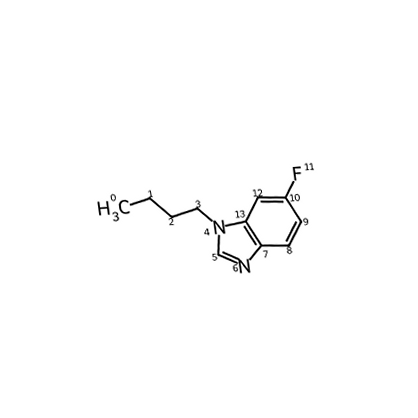 CCCCn1cnc2ccc(F)cc21